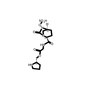 O=C(CNC(=O)[C@@H]1CC[C@H]2CN1C(=O)N2OS(=O)(=O)O)OC[C@@H]1CCCN1